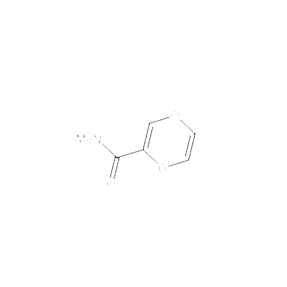 CNC(=O)C1=COC=CO1